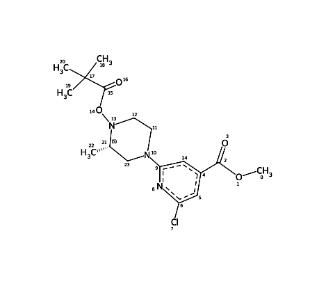 COC(=O)c1cc(Cl)nc(N2CCN(OC(=O)C(C)(C)C)[C@@H](C)C2)c1